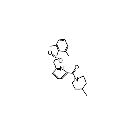 Cc1cccc(C)c1S(=O)(=O)Cc1cccc(C(=O)N2CCC(C)CC2)n1